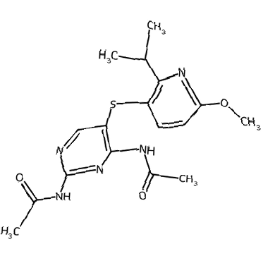 COc1ccc(Sc2cnc(NC(C)=O)nc2NC(C)=O)c(C(C)C)n1